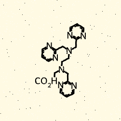 O=C(O)CN(CCN(Cc1ncccn1)Cc1ncccn1)Cc1ncccn1